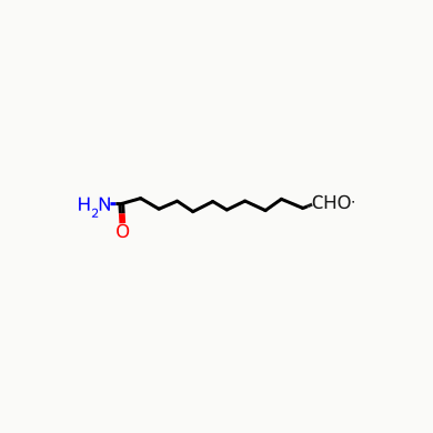 NC(=O)CCCCCCCCCC[C]=O